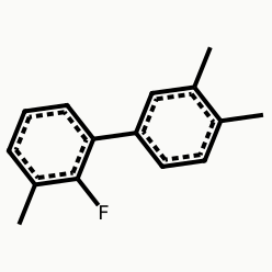 Cc1ccc(-c2cccc(C)c2F)cc1C